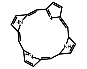 C1=CC2=NC1=CC1C=CC(C=C3C=CC(=N3)C=c3ccc([nH]3)=C2)N1